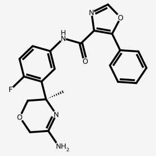 C[C@@]1(c2cc(NC(=O)c3ncoc3-c3ccccc3)ccc2F)COCC(N)=N1